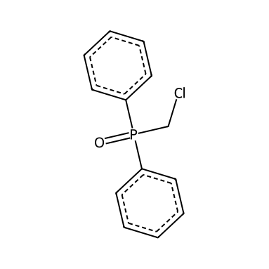 O=P(CCl)(c1ccccc1)c1ccccc1